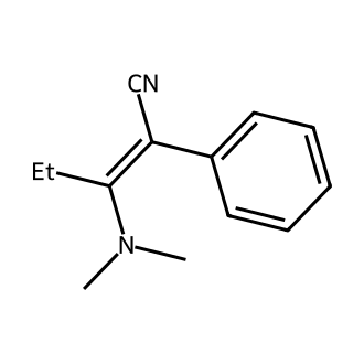 CCC(=C(C#N)c1ccccc1)N(C)C